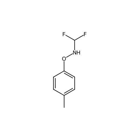 Cc1ccc(ONC(F)F)cc1